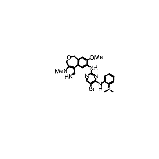 CNC1=C(C=N)c2cc(Nc3ncc(Br)c(Nc4ccccc4P(C)C)n3)c(OC)cc2COC1